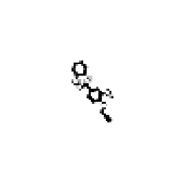 C#CCOc1ccc(C(=O)N[C@@H]2CCCC[C@H]2O)cc1OC